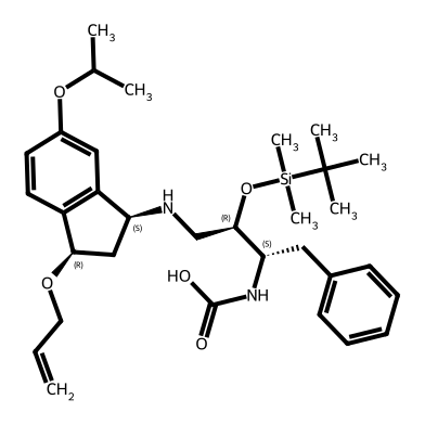 C=CCO[C@@H]1C[C@H](NC[C@@H](O[Si](C)(C)C(C)(C)C)[C@H](Cc2ccccc2)NC(=O)O)c2cc(OC(C)C)ccc21